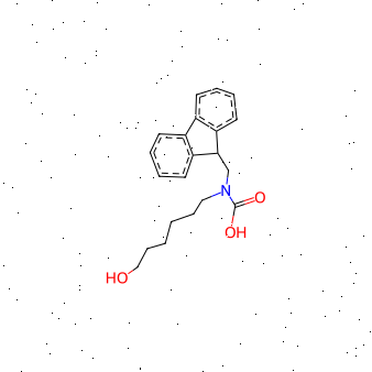 O=C(O)N(CCCCCCO)CC1c2ccccc2-c2ccccc21